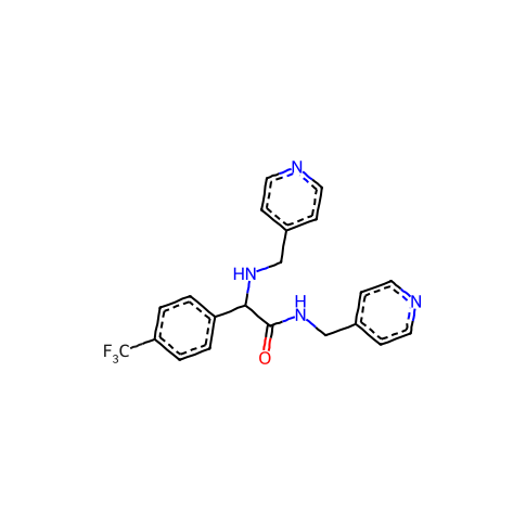 O=C(NCc1ccncc1)C(NCc1ccncc1)c1ccc(C(F)(F)F)cc1